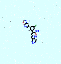 Cc1c(-c2cnc3c(c2)NCCO3)cc(F)c2c1/C(=C/c1cc3cnccc3[nH]1)C(=O)N2